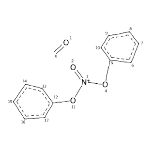 C=O.O=[N+](Oc1ccccc1)Oc1ccccc1